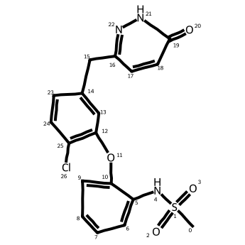 CS(=O)(=O)Nc1ccccc1Oc1cc(Cc2ccc(=O)[nH]n2)ccc1Cl